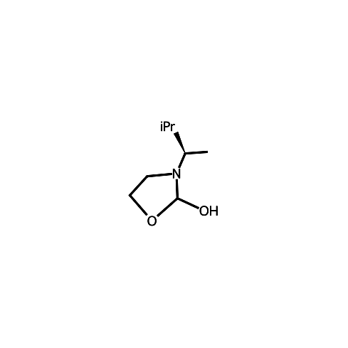 CC(C)[C@@H](C)N1CCOC1O